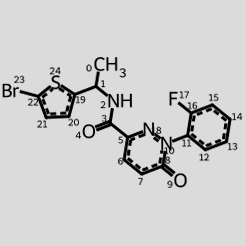 CC(NC(=O)c1ccc(=O)n(-c2ccccc2F)n1)c1ccc(Br)s1